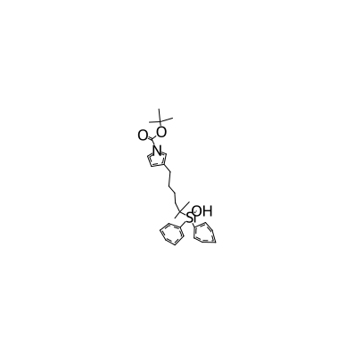 CC(C)(C)OC(=O)n1ccc(CCCCC(C)(C)[Si](O)(c2ccccc2)c2ccccc2)c1